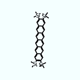 C[Si](C)(C)c1cc2cc3cc4cc5cc6cc([Si](C)(C)C)c([Si](C)(C)C)cc6cc5cc4cc3cc2cc1[Si](C)(C)C